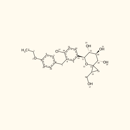 CCOc1ccc(Cc2cc([C@@H]3OC4(CC4CO)[C@@H](O)[C@H](O)[C@H]3O)ccc2Cl)cc1